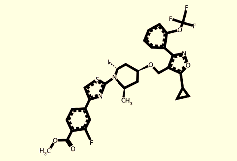 COC(=O)c1ccc(-c2csc(N3[C@H](C)C[C@H](OCc4c(-c5ccccc5OC(F)(F)F)noc4C4CC4)C[C@H]3I)n2)cc1F